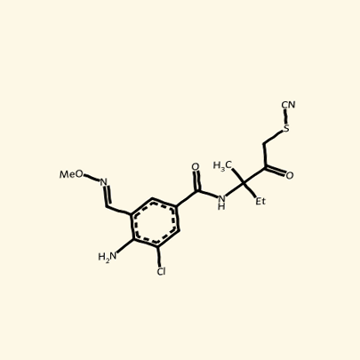 CCC(C)(NC(=O)c1cc(Cl)c(N)c(C=NOC)c1)C(=O)CSC#N